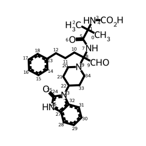 CC(C)(NC(=O)O)C(=O)NC(C=O)(CCCc1ccccc1)N1CCC(n2c(=O)[nH]c3ccccc32)CC1